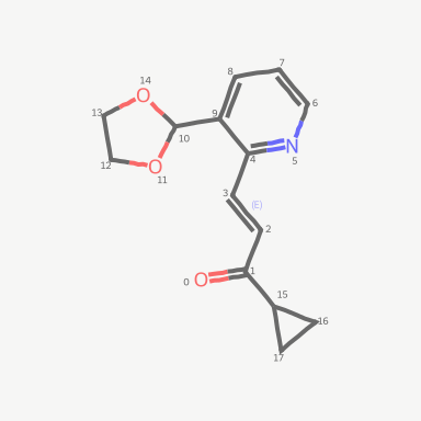 O=C(/C=C/c1ncccc1C1OCCO1)C1CC1